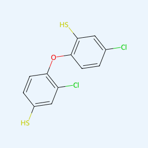 Sc1ccc(Oc2ccc(Cl)cc2S)c(Cl)c1